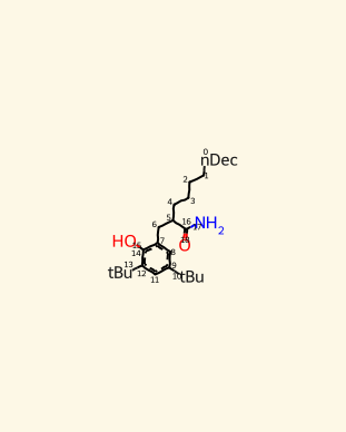 CCCCCCCCCCCCCCC(Cc1cc(C(C)(C)C)cc(C(C)(C)C)c1O)C(N)=O